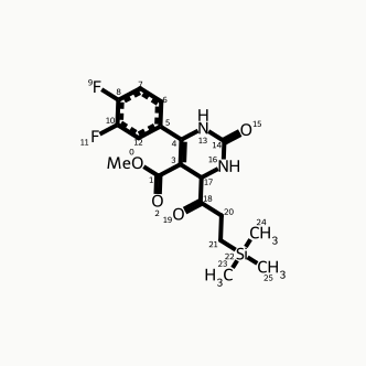 COC(=O)C1=C(c2ccc(F)c(F)c2)NC(=O)NC1C(=O)CC[Si](C)(C)C